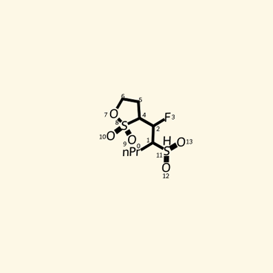 CCCC(C(F)C1CCOS1(=O)=O)[SH](=O)=O